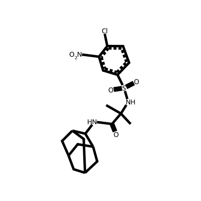 CC(C)(NS(=O)(=O)c1ccc(Cl)c([N+](=O)[O-])c1)C(=O)NC1C2CC3CC(C2)CC1C3